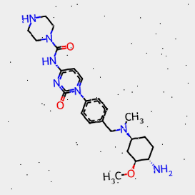 CO[C@H]1C[C@@H](N(C)Cc2ccc(-n3ccc(NC(=O)N4CCNCC4)nc3=O)cc2)CC[C@@H]1N